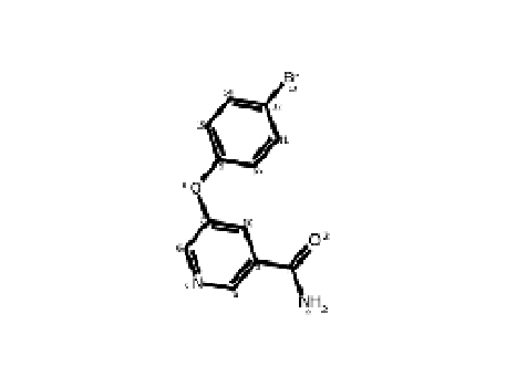 NC(=O)c1cncc(Oc2ccc(Br)cc2)c1